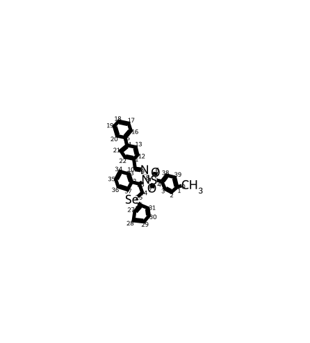 Cc1ccc(S(=O)(=O)N(N=Cc2ccc(-c3ccccc3)cc2)C(C[Se]c2ccccc2)c2ccccc2)cc1